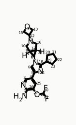 Nc1ncc(-c2cn([C@H]3[C@@H]4CN(C5COC5)C[C@@H]43)c(C3CCCC3)n2)cc1OC(F)F